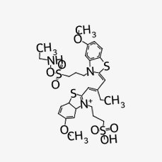 CCNOS(=O)(=O)CCCN1C(=CC(=CC2=[N+](CCCS(=O)(=O)O)C3C=C(OC)C=CC3S2)CC)Sc2ccc(OC)cc21